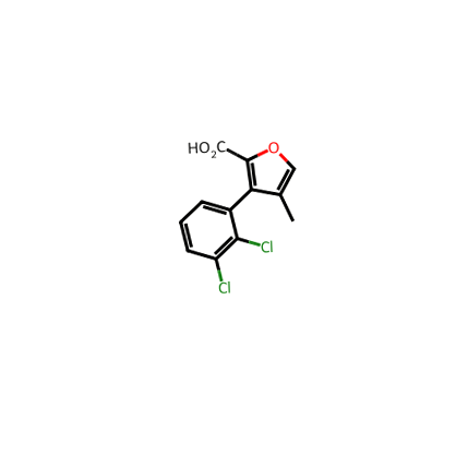 Cc1coc(C(=O)O)c1-c1cccc(Cl)c1Cl